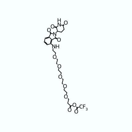 O=C1CCC(N2C(=O)c3cccc(NCCOCCOCCOCCOCCOCCC(=O)OC(=O)C(F)(F)F)c3C2=O)C(=O)N1